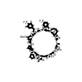 CC[C@H](C)[C@@H]1NC(=O)[C@H](CC)N(C)C(=O)C[C@@H](C(=O)N(C)C)N(C)C(=O)[C@H](C2CCCC2)N(C)C(=O)C2(CCC2)NC(=O)[C@@H]2C[C@@H](OC)CN2C(=O)[C@H](CCc2cc(F)c(C(F)(F)F)c(F)c2)NC(=O)CN(C)C(=O)[C@H](Cc2ccc(C(F)(F)F)cc2)N2CC/C=C\C[C@@H](C2=O)N(C)C(=O)CN(C)C1=O